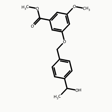 COC(=O)c1cc(OC)cc(OCc2ccc(C(C)O)cc2)c1